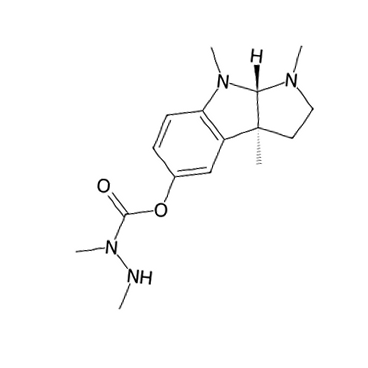 CNN(C)C(=O)Oc1ccc2c(c1)[C@]1(C)CCN(C)[C@H]1N2C